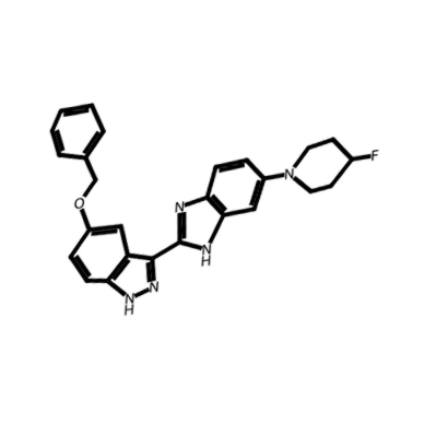 FC1CCN(c2ccc3nc(-c4n[nH]c5ccc(OCc6ccccc6)cc45)[nH]c3c2)CC1